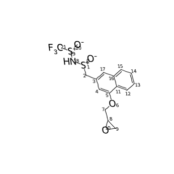 [O-][S+](Cc1cc(OCC2CO2)c2ccccc2c1)N[S+]([O-])C(F)(F)F